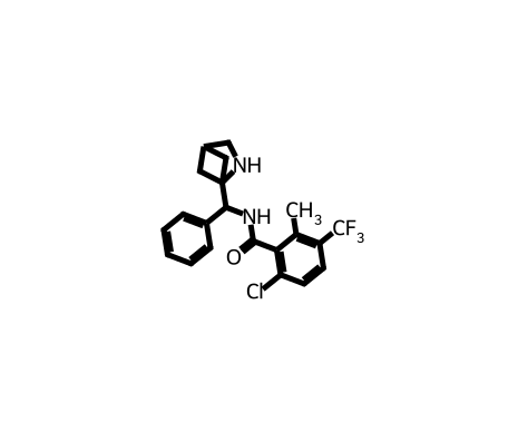 Cc1c(C(F)(F)F)ccc(Cl)c1C(=O)NC(c1ccccc1)C12CC(CN1)C2